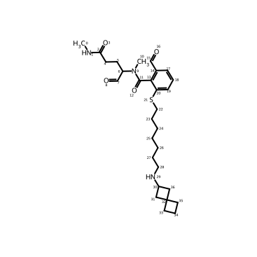 CNC(=O)CCC(C=O)N(C)C(=O)c1c(C=O)cccc1SCCCCCCCNC1CC2(CCC2)C1